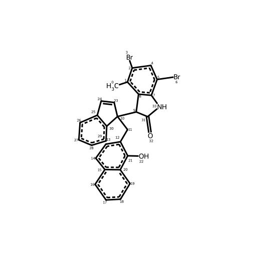 Cc1c(Br)cc(Br)c2c1C(C1(Cc3ccc4ccccc4c3O)C=Cc3ccccc31)C(=O)N2